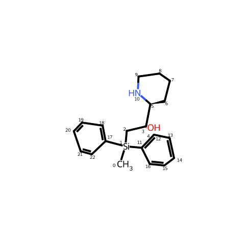 C[Si](C[C@H](O)[C@@H]1CCCCN1)(c1ccccc1)c1ccccc1